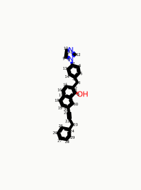 Oc1c(Cc2ccc(-n3ccnc3)cc2)ccc2ccc(C#CCc3ccccc3)cc12